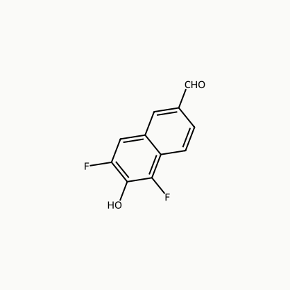 O=Cc1ccc2c(F)c(O)c(F)cc2c1